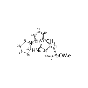 COc1ccc(C(=N)c2c(C)cccc2N2CCCCC2)cc1